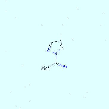 CSC(=N)n1cccn1